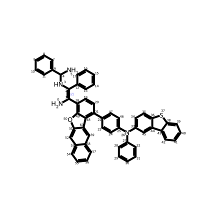 N/C(=C(\NC(N)c1ccccc1)c1ccccc1)c1ccc(-c2ccc(N(c3ccccc3)c3ccc4sc5ccccc5c4c3)cc2)c2c1oc1cc3ccccc3cc12